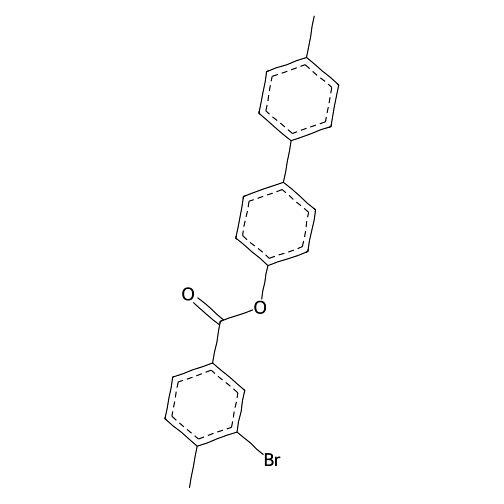 Cc1ccc(-c2ccc(OC(=O)c3ccc(C)c(Br)c3)cc2)cc1